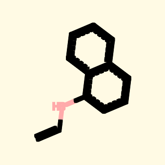 C=CBc1cccc2ccccc12